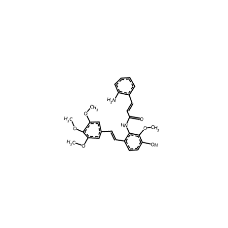 COc1cc(/C=C/c2ccc(O)c(OC)c2NC(=O)/C=C/c2ccccc2N)cc(OC)c1OC